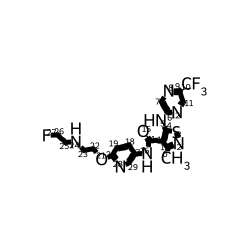 Cc1nsc(Nc2cnc(C(F)(F)F)cn2)c1C(=O)Nc1ccc(OCCNCCF)nc1